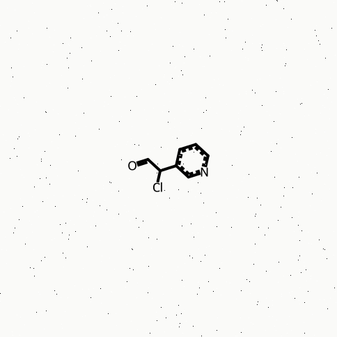 O=CC(Cl)c1cccnc1